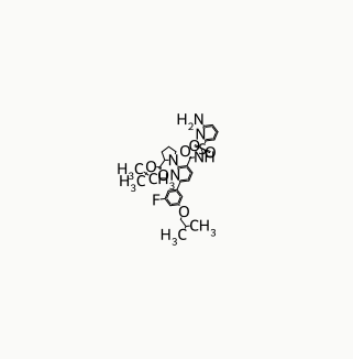 CC(C)COc1cc(F)cc(-c2ccc(C(=O)NS(=O)(=O)c3cccc(N)n3)c(N3CCCC3C(=O)OC(C)(C)C)n2)c1